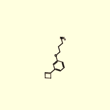 NCCCOc1cccc(C2=CCC2)c1